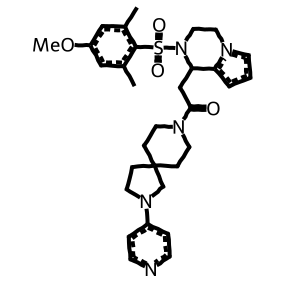 COc1cc(C)c(S(=O)(=O)N2CCn3cccc3C2CC(=O)N2CCC3(CC2)CCN(c2ccncc2)C3)c(C)c1